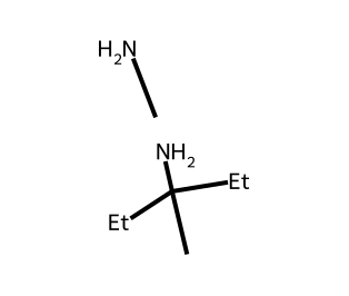 CCC(C)(N)CC.CN